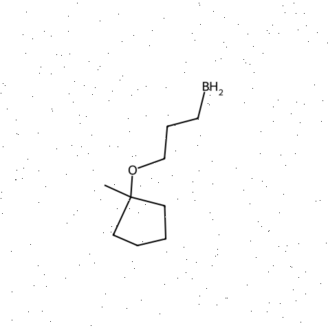 BCCCOC1(C)CCCC1